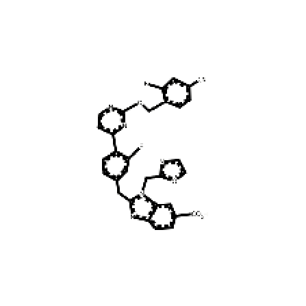 N#Cc1ccc(COc2nccc(-c3ccc(Cc4nc5ccc(C(=O)O)cc5n4Cc4ncco4)cc3F)n2)c(F)c1